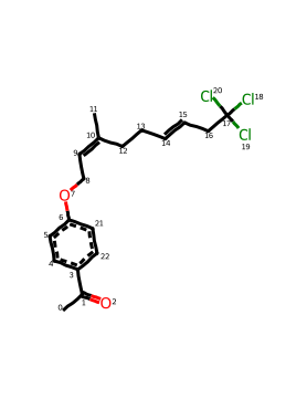 CC(=O)c1ccc(OCC=C(C)CCC=CCC(Cl)(Cl)Cl)cc1